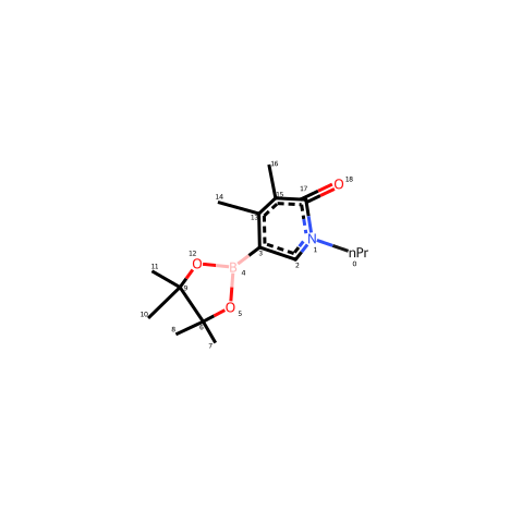 CCCn1cc(B2OC(C)(C)C(C)(C)O2)c(C)c(C)c1=O